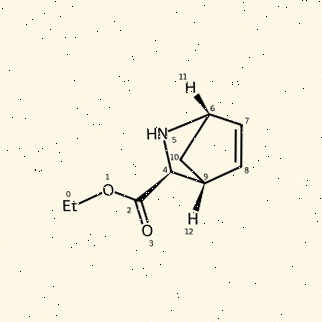 CCOC(=O)[C@H]1N[C@@H]2C=C[C@H]1C2